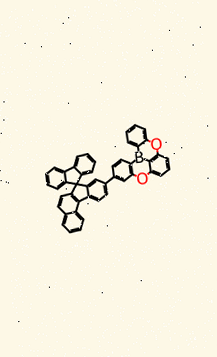 c1ccc2c(c1)Oc1cccc3c1B2c1ccc(-c2ccc4c(c2)C2(c5ccccc5-c5ccccc52)c2ccc5ccccc5c2-4)cc1O3